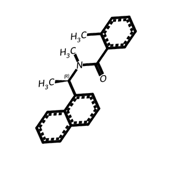 Cc1ccccc1C(=O)N(C)[C@H](C)c1cccc2ccccc12